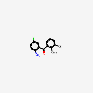 COc1c(C(=O)c2cc(Cl)ccc2N)cccc1C(F)(F)F